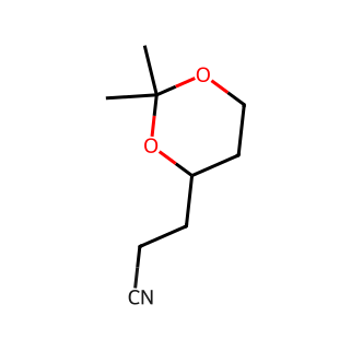 CC1(C)OCCC(CCC#N)O1